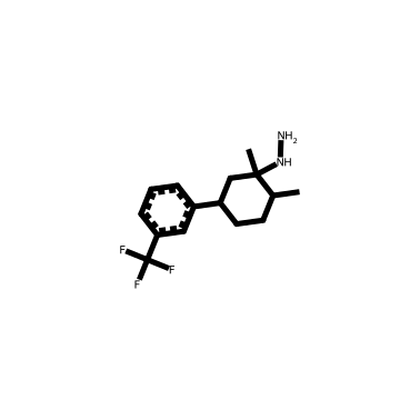 CC1CCC(c2cccc(C(F)(F)F)c2)CC1(C)NN